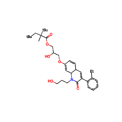 CCc1ccccc1C1=CC2C=CC(OCC(O)COC(=O)C(C)(CC(C)(C)C)C(C)(C)C)=CC2N(CCCO)C1=O